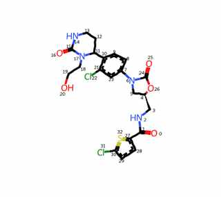 O=C(NC[C@H]1CN(c2ccc(C3CCNC(=O)N3CCO)c(Cl)c2)C(=O)O1)c1ccc(Cl)s1